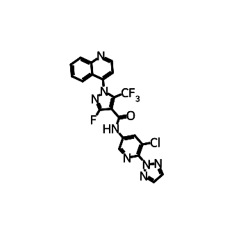 O=C(Nc1cnc(-n2nccn2)c(Cl)c1)c1c(F)nn(-c2ccnc3ccccc23)c1C(F)(F)F